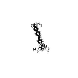 CC(C)(C)OC(=O)N1CCC(COC2CCN(c3ccc(C(N)=O)cc3)CC2)CC1